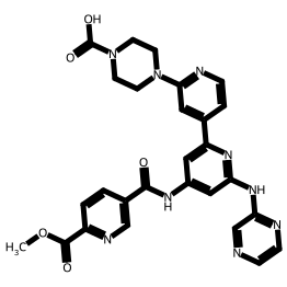 COC(=O)c1ccc(C(=O)Nc2cc(Nc3cnccn3)nc(-c3ccnc(N4CCN(C(=O)O)CC4)c3)c2)cn1